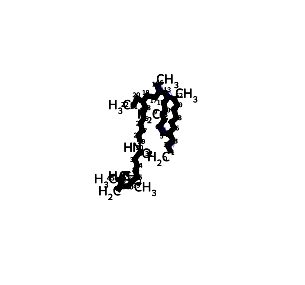 C=C/C=C/C(/C=C\CC(=C)CC/C=C\C(=C/C)CCC(CCC)CCCCCCCNC(=O)CCCCC(C)(C)CC(=C)C(=C)C)CCCCCCC